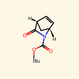 CC(C)(C)OC(=O)N1C(=O)[C@@H]2C=C[C@H]1C2